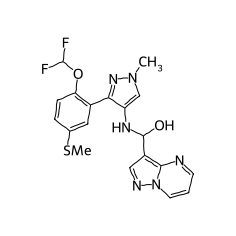 CSc1ccc(OC(F)F)c(-c2nn(C)cc2NC(O)c2cnn3cccnc23)c1